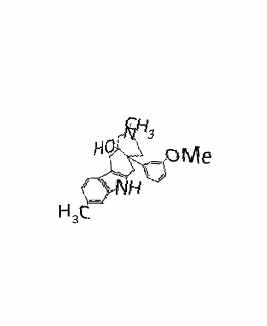 COc1cccc(C23CCN(C)CC2(O)Cc2c([nH]c4cc(C)ccc24)C3)c1